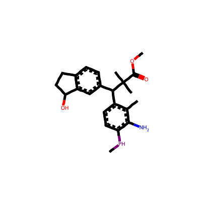 COC(=O)C(C)(C)C(c1ccc2c(c1)C(O)CC2)c1ccc(PC)c(N)c1C